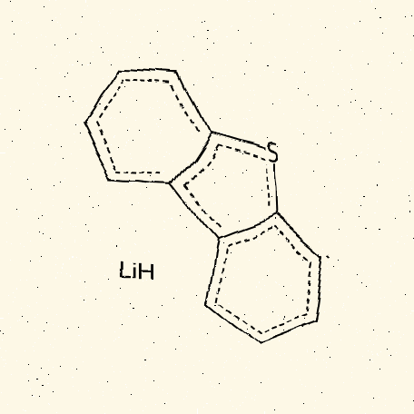 [LiH].[c]1cccc2c1sc1ccccc12